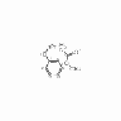 CC(C)(C)OC(N)=O.CCCOc1ccccc1